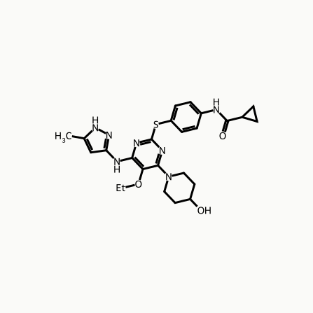 CCOc1c(Nc2cc(C)[nH]n2)nc(Sc2ccc(NC(=O)C3CC3)cc2)nc1N1CCC(O)CC1